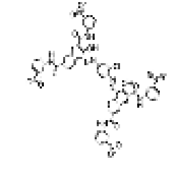 O=C(Nc1cccc([N+](=O)[O-])c1)c1ccc2c(N=Nc3ccc(N=Nc4c(O)c(C(=O)Nc5cccc([N+](=O)[O-])c5)cc5cc(C(=O)Nc6cccc([N+](=O)[O-])c6)ccc45)c(Cl)c3)c(O)c(C(=O)Nc3cccc([N+](=O)[O-])c3)cc2c1